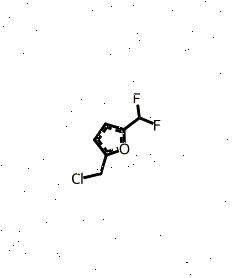 FC(F)c1ccc(CCl)o1